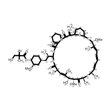 CCC(C)(CO)C(=O)O[C@@H]1CC[C@@H](C[C@@H](C)C2CC(=O)[C@H](C)/C=C(\C)[C@@H](O)[C@@H](OC)C(=O)[C@H](C)C[C@H](C)/C=C/C=C/C=C(\C)[C@@H](OC)C[C@@H]3CC[C@@H](C)[C@@](O)(O3)C(=O)C(=O)N3CCCC[C@H]3C(=O)O2)C[C@H]1OC